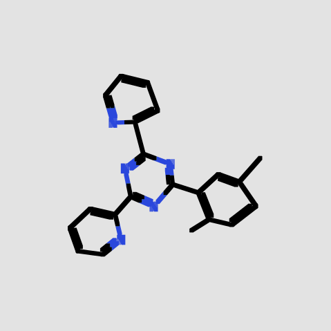 Cc1ccc(C)c(-c2nc(-c3ccccn3)nc(-c3ccccn3)n2)c1